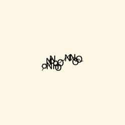 CCOC(=O)CN1CCN(CCCOc2cc3ncnc(Nc4cccc(C)c4)c3cc2OC)CC1